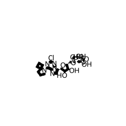 O=P(O)(O)CP(=O)(O)OC[C@H]1O[C@@H](c2cnc3c(N4CCCC45CCC5)nc(Cl)nn23)[C@H](O)[C@@H]1O